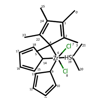 CC1=C(C)[C](C)([Zr]([Cl])([Cl])([CH]2C=CC=C2)([CH]2C=CC=C2)[SiH](C)C)C(C)=C1C